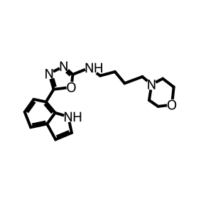 c1cc(-c2nnc(NCCCCN3CCOCC3)o2)c2[nH]ccc2c1